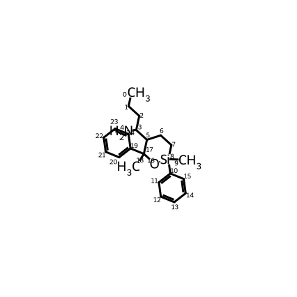 CCCC(N)C1CC[Si](C)(c2ccccc2)OC1(C)c1ccccc1